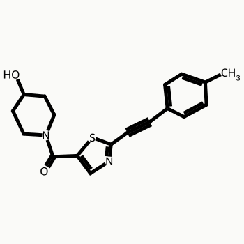 Cc1ccc(C#Cc2ncc(C(=O)N3CCC(O)CC3)s2)cc1